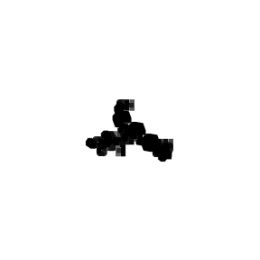 CCOC(=O)c1sc(Nc2nc(N3CCC(CO)CC3)c3c(n2)N(Cc2ccc(NS(=O)(=O)C(C)C)cc2)CCC3)nc1C